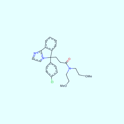 COCCN(CCOC)C(=O)CCC1(c2ccc(Cl)cc2)c2ccccc2-c2nccn21